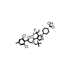 Cc1cc(Cl)c(C(=O)CN(CC(C)(C)C)C(=O)c2cnn([C@H]3CC[C@H](C(=O)O)CC3)c2C(F)(F)F)c(Cl)c1